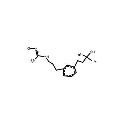 CCCC(O)(CCC)CCc1cccc(CCCN/C(N)=N/Cl)c1